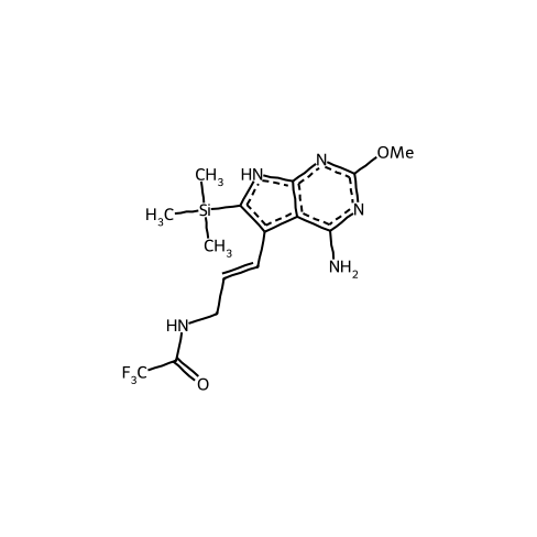 COc1nc(N)c2c(/C=C/CNC(=O)C(F)(F)F)c([Si](C)(C)C)[nH]c2n1